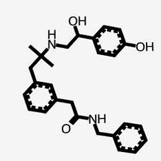 CC(C)(Cc1cccc(CC(=O)NCc2ccccc2)c1)NCC(O)c1ccc(O)cc1